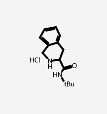 CC(C)(C)NC(=O)C1Cc2ccccc2CN1.Cl